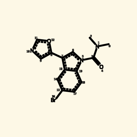 CN(C)C(=O)n1cc(-c2cnco2)c2cc(Br)ccc21